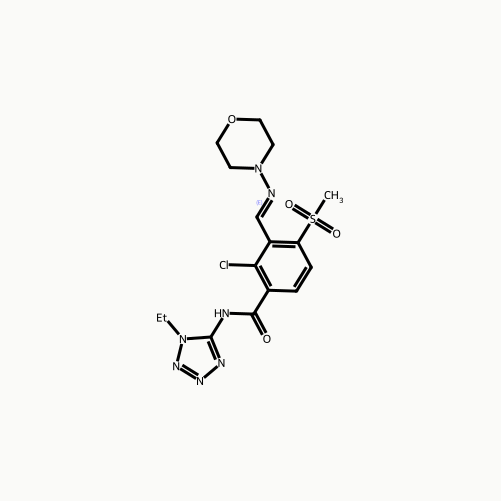 CCn1nnnc1NC(=O)c1ccc(S(C)(=O)=O)c(/C=N/N2CCOCC2)c1Cl